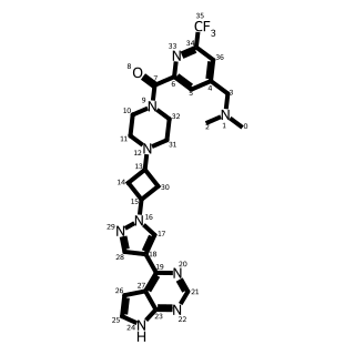 CN(C)Cc1cc(C(=O)N2CCN(C3CC(n4cc(-c5ncnc6[nH]ccc56)cn4)C3)CC2)nc(C(F)(F)F)c1